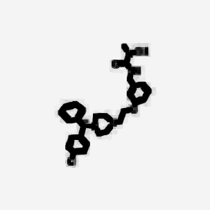 CN(O)C(=O)NCc1cccc(OCCN2CCN([C@H](c3ccccc3)c3ccc(Cl)cc3)CC2)c1